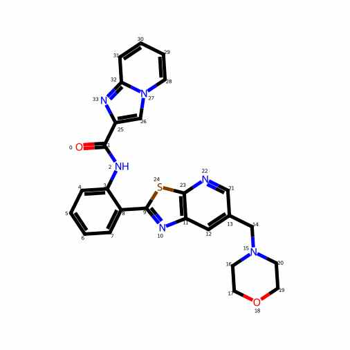 O=C(Nc1ccccc1-c1nc2cc(CN3CCOCC3)cnc2s1)c1cn2ccccc2n1